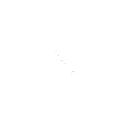 CCCCc1ccc(C2CCC(/C=C/c3ccc(-c4ccc(CCC)cc4)c(F)c3F)CC2)cc1F